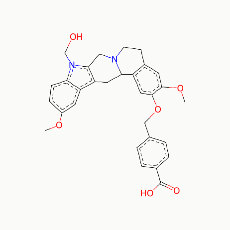 COc1ccc2c(c1)c1c(n2CO)CN2CCc3cc(OC)c(OCc4ccc(C(=O)O)cc4)cc3C2C1